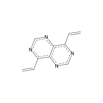 C=Cc1ncnc2c(C=C)ncnc12